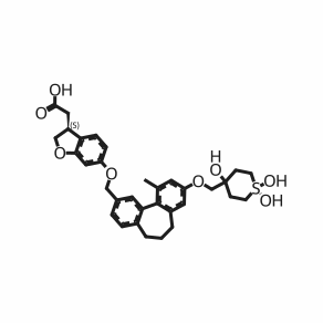 Cc1cc(OCC2(O)CCS(O)(O)CC2)cc2c1-c1cc(COc3ccc4c(c3)OC[C@H]4CC(=O)O)ccc1CCC2